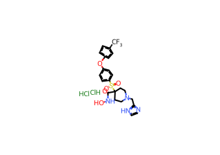 Cl.Cl.O=C(NO)C1(S(=O)(=O)c2ccc(Oc3ccc(C(F)(F)F)cc3)cc2)CCN(Cc2ncc[nH]2)CC1